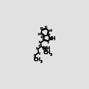 CCCC[C@@H](Cc1c[nH]c2ccccc12)NC